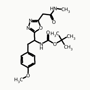 CNC(=O)Cc1nnc(C(Cc2ccc(OC)cc2)NC(=O)OC(C)(C)C)o1